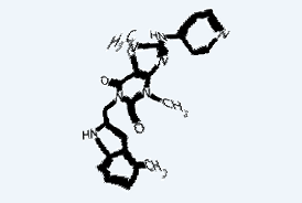 Cc1cccc2[nH]c(Cn3c(=O)c4c(nc(Nc5ccncc5)n4C)n(C)c3=O)cc12